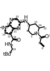 C=CC(=O)N1CCC(Nc2cnc3[nH]cc(C(=O)NCC(C)(C)C)c3n2)CC1C